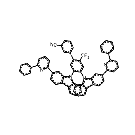 N#Cc1cccc(-c2cc(-n3c4ccccc4c4ccc(-c5cccc(-c6ccccc6)n5)cc43)c(-n3c4ccccc4c4ccc(-c5cccc(-c6ccccc6)n5)cc43)cc2C(F)(F)F)c1